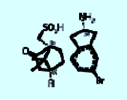 CC1(C)[C@H]2CC[C@]1(CS(=O)(=O)O)C(=O)C2.N[C@H]1Cc2ccc(Br)cc2C1